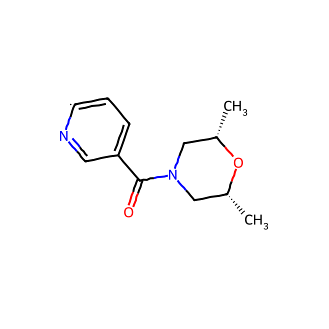 C[C@@H]1CN(C(=O)c2cc[c]nc2)C[C@H](C)O1